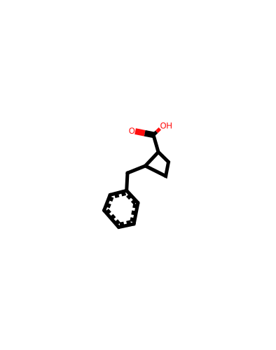 O=C(O)C1CCC1Cc1ccccc1